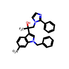 O=[N+]([O-])c1ccc2c(C(O)(Cn3ccnc3-c3ccccc3)C(F)(F)F)cn(Cc3ccccc3)c2c1